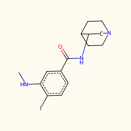 CNc1cc(C(=O)NC2CN3CCC2CC3)ccc1I